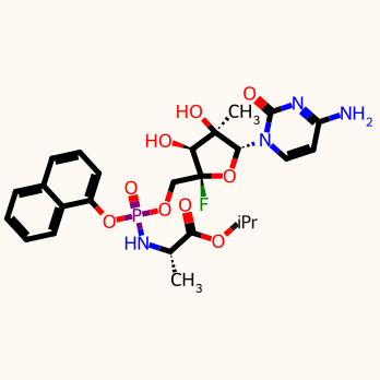 CC(C)OC(=O)[C@H](C)NP(=O)(OC[C@@]1(F)O[C@@H](n2ccc(N)nc2=O)[C@](C)(O)[C@@H]1O)Oc1cccc2ccccc12